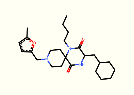 CCCCN1C(=O)C(CC2CCCCC2)NC(=O)C12CCN(Cc1ccc(C)o1)CC2